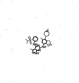 Cc1cc(Nc2nc(Nc3ccccc3S(=O)(=O)C(C)C)c3c(C)n[nH]c3n2)c2c(c1C1CCN(C)CC1)C[C@H](C)O2